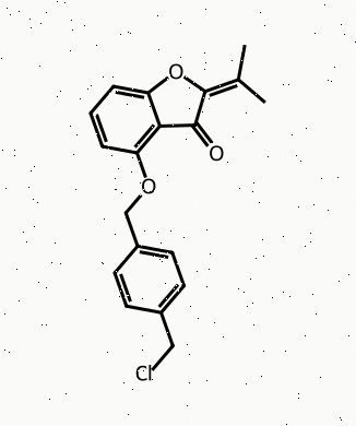 CC(C)=C1Oc2cccc(OCc3ccc(CCl)cc3)c2C1=O